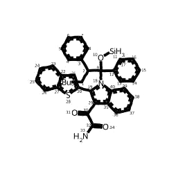 CC(C)(C)CC(c1ccccc1)C(O[SiH3])(c1ccccc1)n1c(-c2cc3ccccc3s2)c(C(=O)C(N)=O)c2ccccc21